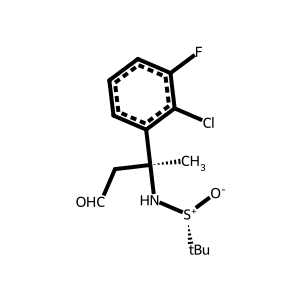 CC(C)(C)[S@@+]([O-])N[C@@](C)(CC=O)c1cccc(F)c1Cl